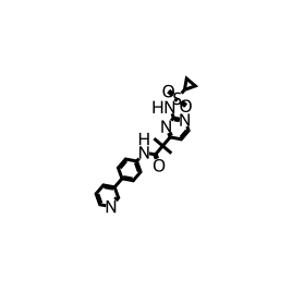 CC(C)(C(=O)Nc1ccc(-c2cccnc2)cc1)c1ccnc(NS(=O)(=O)C2CC2)n1